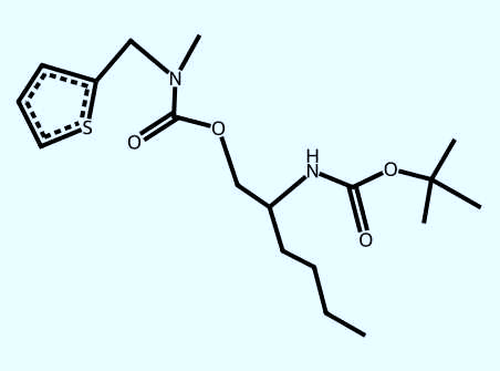 CCCCC(COC(=O)N(C)Cc1cccs1)NC(=O)OC(C)(C)C